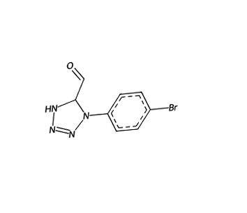 O=CC1NN=NN1c1ccc(Br)cc1